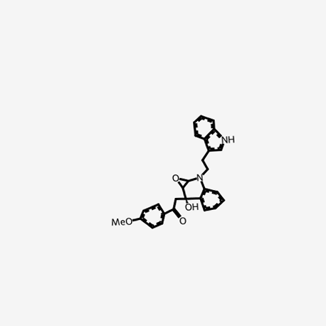 COc1ccc(C(=O)C[C@@]2(O)c3ccccc3N(CCc3c[nH]c4ccccc34)C3OC32)cc1